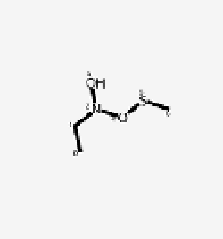 CCN(O)OSC